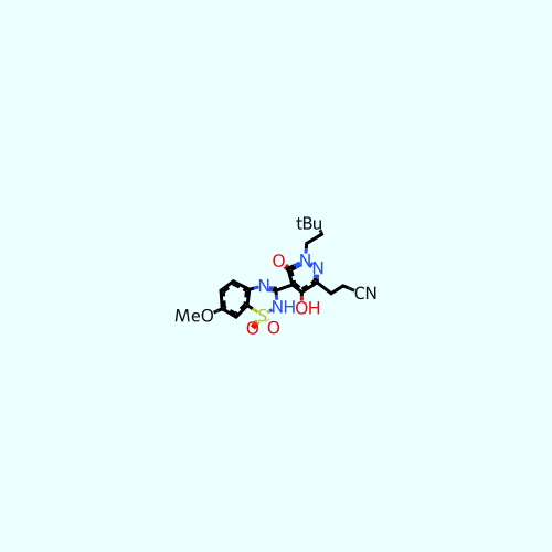 COc1ccc2c(c1)S(=O)(=O)NC(c1c(O)c(CCC#N)nn(CCC(C)(C)C)c1=O)=N2